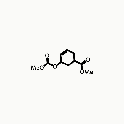 COC(=O)OC1C=CCC(C(=O)OC)C1